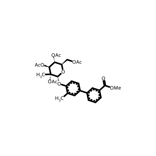 COC(=O)c1cccc(-c2ccc(O[C@H]3O[C@H](COC(C)=O)[C@@H](OC(C)=O)[C@H](OC(C)=O)[C@@]3(C)OC(C)=O)c(C)c2)c1